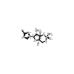 NP1(=O)OC[C@H]2O[C@@H](n3cnc(I)n3)[C@H](O)[C@@H]2O1